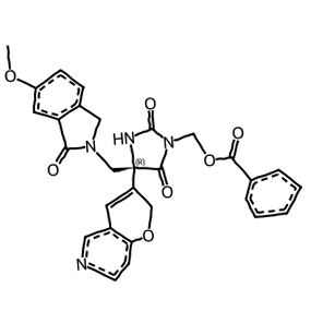 COc1ccc2c(c1)C(=O)N(C[C@@]1(C3=Cc4cnccc4OC3)NC(=O)N(COC(=O)c3ccccc3)C1=O)C2